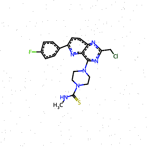 CNC(=S)N1CCN(c2nc(CCl)nc3ccc(-c4ccc(F)cc4)nc23)CC1